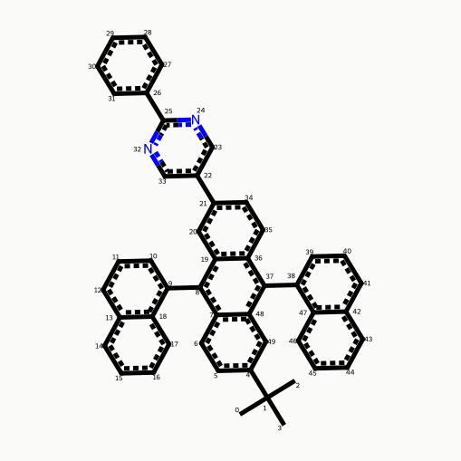 CC(C)(C)c1ccc2c(-c3cccc4ccccc34)c3cc(-c4cnc(-c5ccccc5)nc4)ccc3c(-c3cccc4ccccc34)c2c1